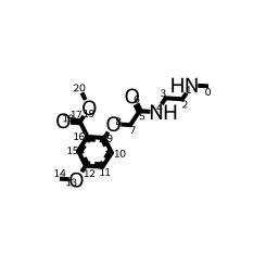 CNCCNC(=O)COc1ccc(OC)cc1C(=O)OC